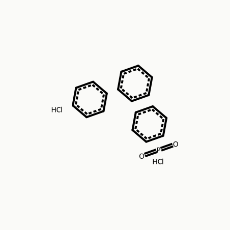 Cl.Cl.O=[P]=O.c1ccccc1.c1ccccc1.c1ccccc1